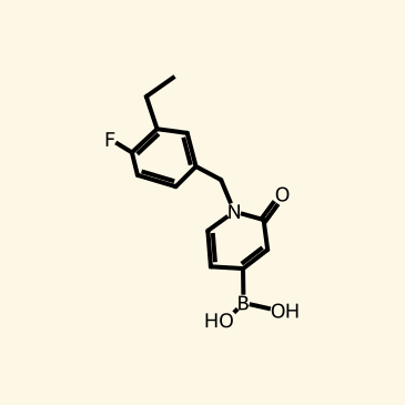 CCc1cc(Cn2ccc(B(O)O)cc2=O)ccc1F